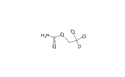 NC(=O)OCC(Cl)(Cl)Cl